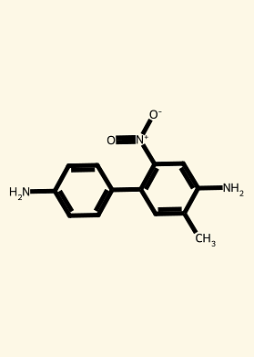 Cc1cc(-c2ccc(N)cc2)c([N+](=O)[O-])cc1N